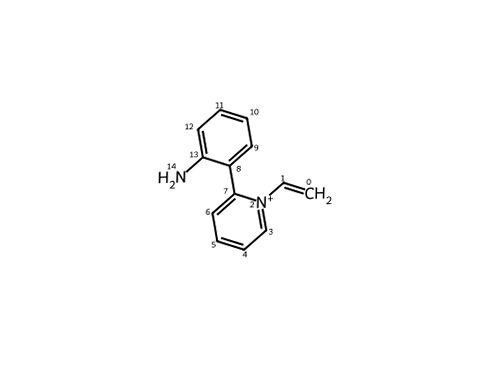 C=C[n+]1ccccc1-c1ccccc1N